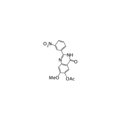 COc1cc2nc(-c3cccc([N+](=O)[O-])c3)[nH]c(=O)c2cc1OC(C)=O